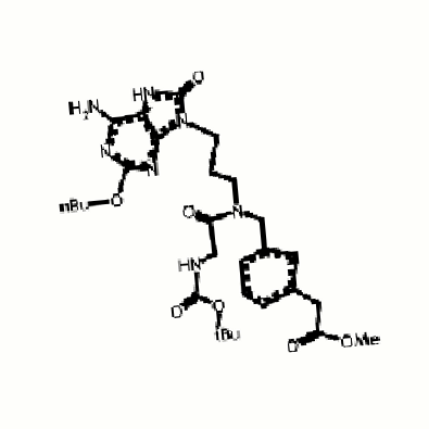 CCCCOc1nc(N)c2[nH]c(=O)n(CCCN(Cc3cccc(CC(=O)OC)c3)C(=O)CNC(=O)OC(C)(C)C)c2n1